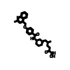 Cc1cc(COc2ccc(C(=O)NC3CCCN(CC(C)CCC(=O)NO)C3)cc2)c2ccccc2n1